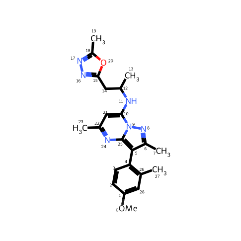 COc1ccc(-c2c(C)nn3c(NC(C)Cc4nnc(C)o4)cc(C)nc23)c(C)c1